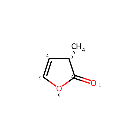 C.O=C1CC=CO1